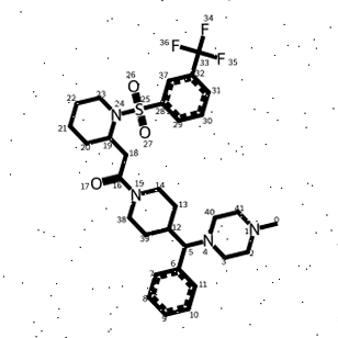 CN1CCN(C(c2ccccc2)C2CCN(C(=O)CC3CCCCN3S(=O)(=O)c3cccc(C(F)(F)F)c3)CC2)CC1